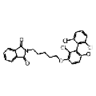 O=C1c2ccccc2C(=O)N1CCCCCOc1ccc(Cl)c(-c2c(Cl)cccc2Cl)c1Cl